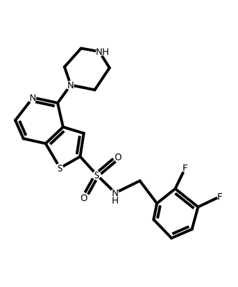 O=S(=O)(NCc1cccc(F)c1F)c1cc2c(N3CCNCC3)nccc2s1